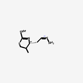 CSC1=N[C@H](C/C=N\N)C(C)CS1